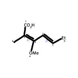 CC/C=C/C(OC)=C(/C)C(=O)O